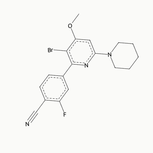 COc1cc(N2CCCCC2)nc(-c2ccc(C#N)c(F)c2)c1Br